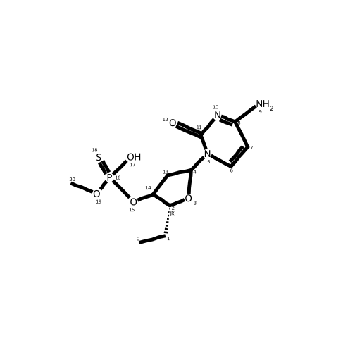 CC[C@H]1OC(n2ccc(N)nc2=O)CC1OP(O)(=S)OC